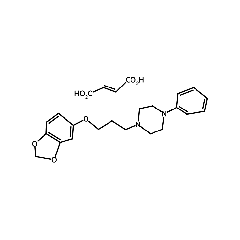 O=C(O)C=CC(=O)O.c1ccc(N2CCN(CCCOc3ccc4c(c3)OCO4)CC2)cc1